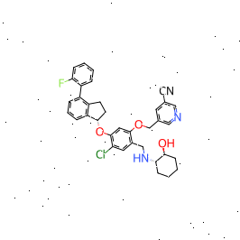 N#Cc1cncc(COc2cc(O[C@H]3CCc4c(-c5ccccc5F)cccc43)c(Cl)cc2CN[C@H]2CCCC[C@@H]2O)c1